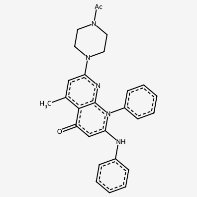 CC(=O)N1CCN(c2cc(C)c3c(=O)cc(Nc4ccccc4)n(-c4ccccc4)c3n2)CC1